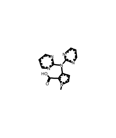 Cn1ccc(N(c2ncccn2)c2ncccn2)c1C(=O)O